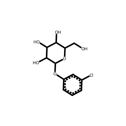 OCC1OC(Oc2cccc(Cl)c2)C(O)C(O)C1O